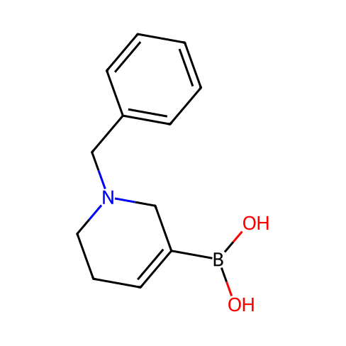 OB(O)C1=CCCN(Cc2ccccc2)C1